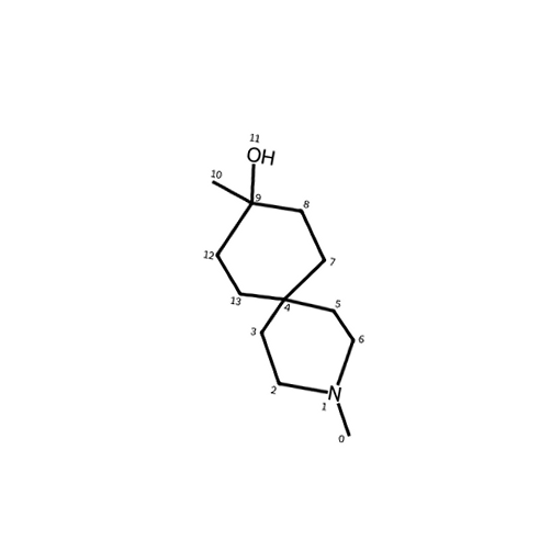 CN1CCC2(CC1)CCC(C)(O)CC2